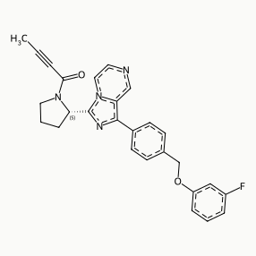 CC#CC(=O)N1CCC[C@H]1c1nc(-c2ccc(COc3cccc(F)c3)cc2)c2cnccn12